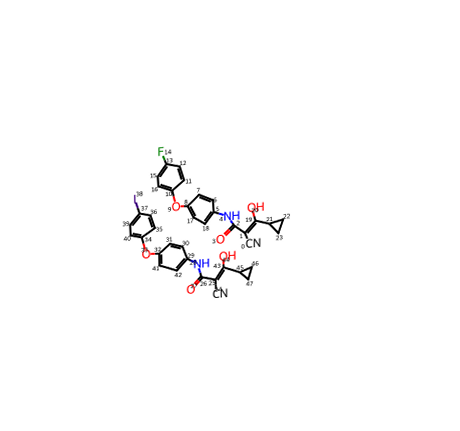 N#CC(C(=O)Nc1ccc(Oc2ccc(F)cc2)cc1)=C(O)C1CC1.N#CC(C(=O)Nc1ccc(Oc2ccc(I)cc2)cc1)=C(O)C1CC1